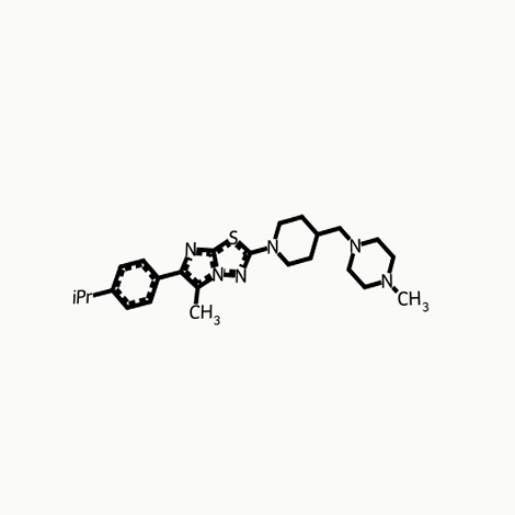 Cc1c(-c2ccc(C(C)C)cc2)nc2sc(N3CCC(CN4CCN(C)CC4)CC3)nn12